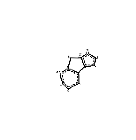 c1cnc2c(c1)-c1ccoc1C2